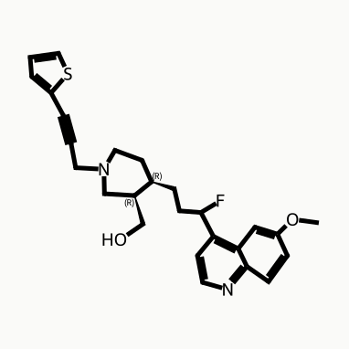 COc1ccc2nccc(C(F)CC[C@@H]3CCN(CC#Cc4cccs4)C[C@@H]3CO)c2c1